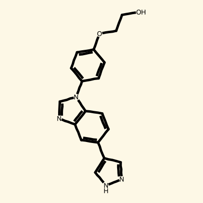 OCCOc1ccc(-n2cnc3cc(-c4cn[nH]c4)ccc32)cc1